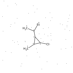 CCC(C)C1[C](C)C1Cl